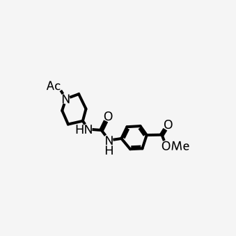 COC(=O)c1ccc(NC(=O)NC2CCN(C(C)=O)CC2)cc1